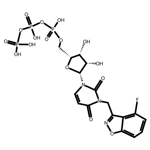 O=c1ccn([C@@H]2O[C@H](COP(=O)(O)OP(=O)(O)OP(=O)(O)O)[C@H](O)[C@@H]2O)c(=O)n1Cc1noc2cccc(F)c12